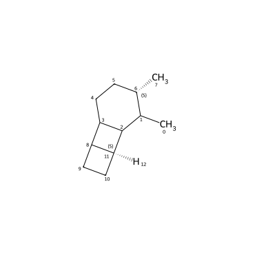 CC1C2C(CC[C@@H]1C)C1CC[C@@H]12